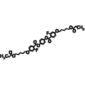 C=CC(=O)OCCCCCOc1ccc(C(=O)Oc2ccc(OC(=O)c3ccc(OCCCCCOC(=O)C=C)cc3F)cc2)c(F)c1